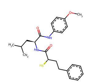 COc1ccc(NC(=O)[C@H](CC(C)C)NC(=O)[C@H](S)CCc2ccccc2)cc1